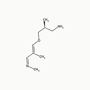 C/N=C\C(C)=C\OC[C@@H](C)CN